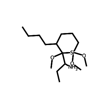 CCCCC1CCC[Si](OC)(OC)C1(OC)C(N)CC